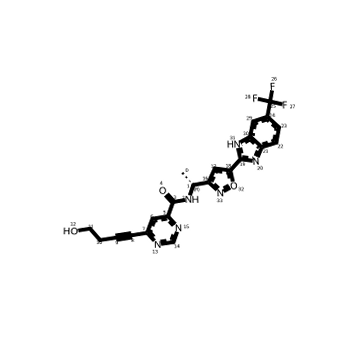 C[C@@H](NC(=O)c1cc(C#CCCO)ncn1)c1cc(-c2nc3ccc(C(F)(F)F)cc3[nH]2)on1